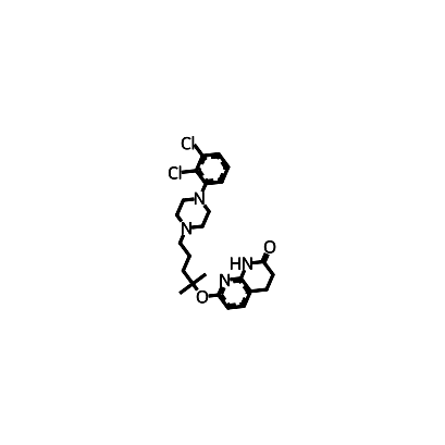 CC(C)(CCCN1CCN(c2cccc(Cl)c2Cl)CC1)Oc1ccc2c(n1)NC(=O)CC2